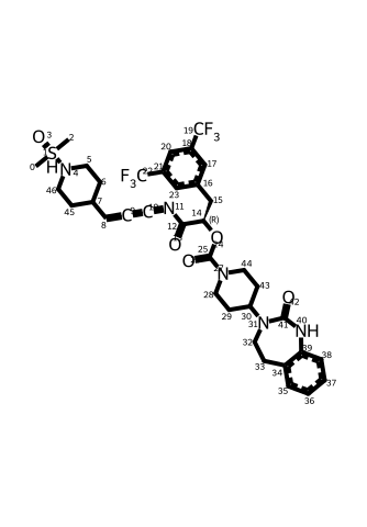 C[SH](C)(=O)N1CCC(C=C=C=NC(=O)[C@@H](Cc2cc(C(F)(F)F)cc(C(F)(F)F)c2)OC(=O)N2CCC(N3CCc4ccccc4NC3=O)CC2)CC1